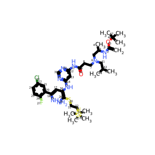 C=C(NC(C)CN(CCC(=O)Nc1cc(NC(/C=C(\N)c2cc(Cl)ccc2F)=C(/N)SCC[SH](C)(C)(C)C)ncn1)CC(C)C)OC(C)(C)C